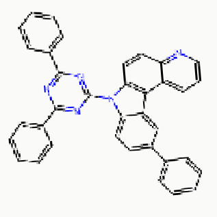 c1ccc(-c2ccc3c(c2)c2c4cccnc4ccc2n3-c2nc(-c3ccccc3)nc(-c3ccccc3)n2)cc1